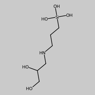 OCC(O)CNCCC[Si](O)(O)O